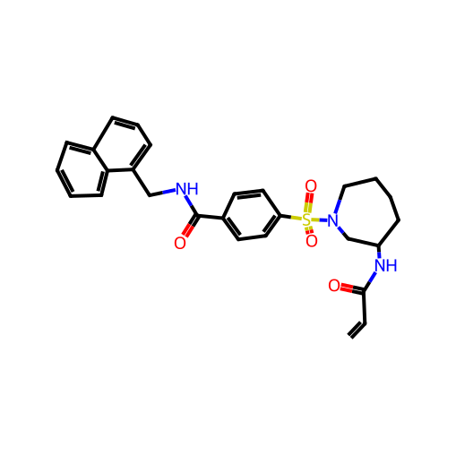 C=CC(=O)NC1CCCCN(S(=O)(=O)c2ccc(C(=O)NCc3cccc4ccccc34)cc2)C1